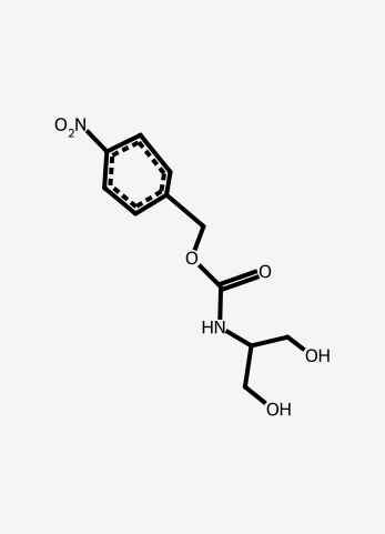 O=C(NC(CO)CO)OCc1ccc([N+](=O)[O-])cc1